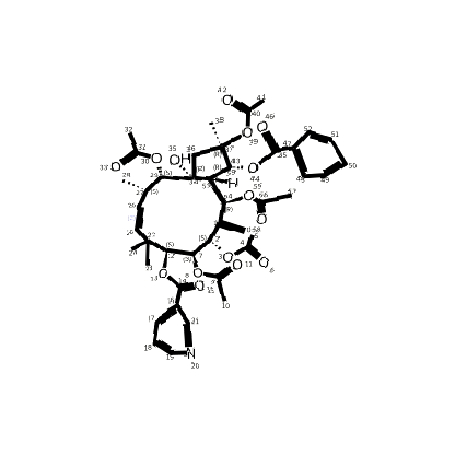 C=C1[C@H](OC(C)=O)[C@@H](OC(C)=O)[C@@H](OC(=O)c2cccnc2)C(C)(C)/C=C\[C@H](C)[C@H](OC(C)=O)[C@@]2(O)C[C@@](C)(OC(C)=O)[C@H](OC(=O)c3ccccc3)[C@@H]2[C@H]1OC(C)=O